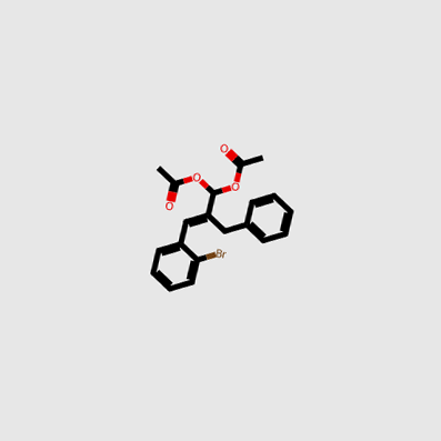 CC(=O)OC(OC(C)=O)/C(=C/c1ccccc1Br)Cc1ccccc1